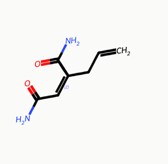 C=CC/C(=C/C(N)=O)C(N)=O